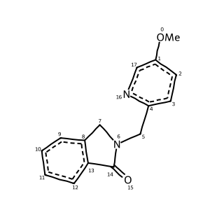 COc1ccc(CN2Cc3ccccc3C2=O)nc1